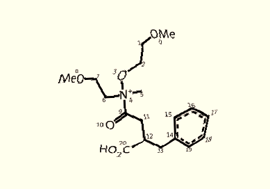 COCCO[N+](C)(CCOC)C(=O)C[C@@H](Cc1ccccc1)C(=O)O